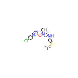 CC(CN1CCN(c2ccc(Cl)cc2)CC1)C(=O)N1CCC(Nc2ccc(SC(F)(F)F)cc2)CC1